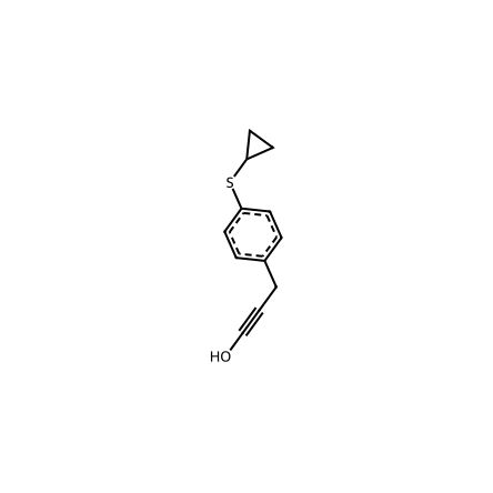 OC#CCc1ccc(SC2CC2)cc1